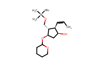 C/C=C\[C@@H]1[C@@H](CO[Si](C)(C)C(C)(C)C)[C@H](OC2CCCCO2)C[C@@H]1O